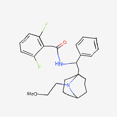 COCCN1C2CCC1(C(NC(=O)c1c(F)cccc1F)c1ccccc1)CC2